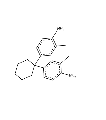 Cc1cc(C2(c3ccc(N)c(C)c3)CCCCC2)ccc1N